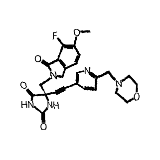 COc1ccc2c(c1F)C(=O)N(C[C@@]1(C#Cc3ccc(CN4CCOCC4)nc3)NC(=O)NC1=O)C2